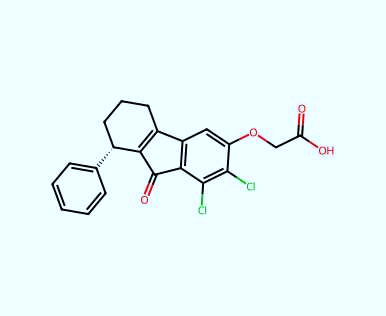 O=C(O)COc1cc2c(c(Cl)c1Cl)C(=O)C1=C2CCC[C@H]1c1ccccc1